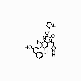 CN1CCC[C@H]1COc1nc2c(F)c(-c3cc(O)cc4ccccc34)c(Cl)cc2n(CC2CNC2)c1=O